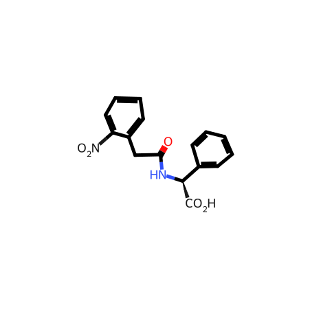 O=C(Cc1ccccc1[N+](=O)[O-])N[C@H](C(=O)O)c1ccccc1